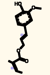 C/C=C(/C)C(=O)OC/C=C/c1ccc(O)c(OC)c1